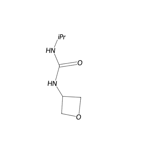 CC(C)NC(=O)NC1COC1